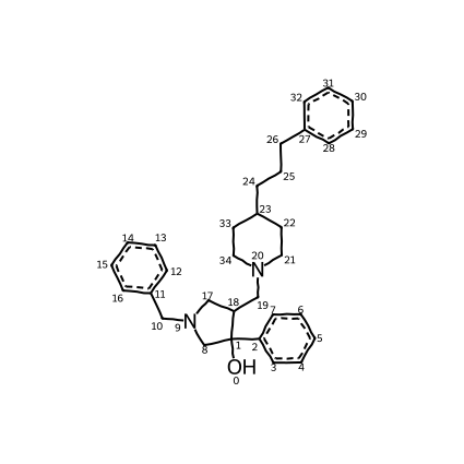 OC1(c2ccccc2)CN(Cc2ccccc2)CC1CN1CCC(CCCc2ccccc2)CC1